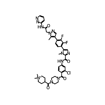 Cc1c(-c2ccc(-c3cnc(C(=O)Nc4ccc(C(=O)N5CCN(C(=O)C6CC[N+](C)(C)CC6)CC5)c(Cl)c4)n3C)c(F)c2F)cnn1CC(=O)Nc1cccnn1